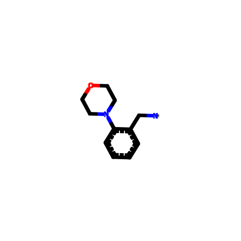 [N]Cc1ccccc1N1CCOCC1